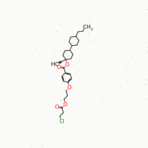 C#CC1(OC(=O)c2ccc(OCCCOC(=O)CCCl)cc2)CCC(C2CCC(CCC)CC2)CC1